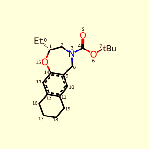 CC[C@@H]1CN(C(=O)OC(C)(C)C)Cc2cc3c(cc2O1)CCCC3